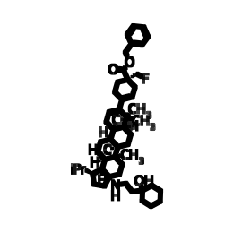 CC(C)[C@@H]1CC[C@]2(NCCC3(O)CCCCC3)CC[C@]3(C)[C@H](CC[C@@H]4[C@@]5(C)CC=C(C6=CC[C@](CF)(C(=O)OCc7ccccc7)CC6)C(C)(C)[C@@H]5CC[C@]43C)[C@@H]12